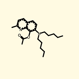 CCCCCN(CCCCC)c1ccc2ccc(C)nc2c1OC(C)=O